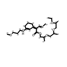 CCOC(C)COC(C)COC(C)COC(=O)/C(C=NC)=C1\C=C(NCCCOC)CCC1